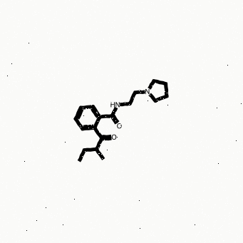 CCC(C)C(=O)c1ccccc1C(=O)NCCN1CCCC1